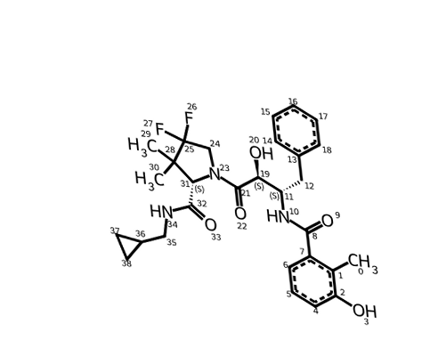 Cc1c(O)cccc1C(=O)N[C@@H](Cc1ccccc1)[C@H](O)C(=O)N1CC(F)(F)C(C)(C)[C@H]1C(=O)NCC1CC1